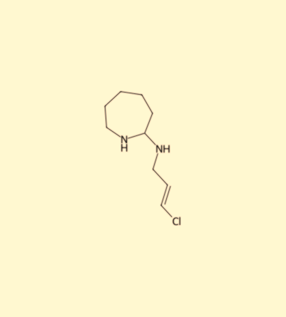 ClC=CCNC1CCCCCN1